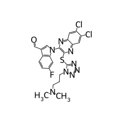 CN(C)CCCn1nnnc1Sc1nc2cc(Cl)c(Cl)cc2nc1-n1cc(C=O)c2ccc(F)cc21